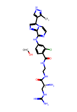 N=C(N)NC[C@H](N)C(=O)NCCNC(=O)c1ccc(Nc2nccn3c(-c4c[nH]nc4C(F)(F)F)cnc23)cc1Cl.O=CO